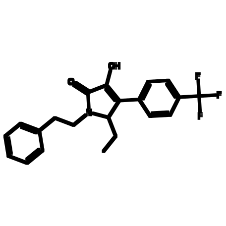 CCC1C(c2ccc(C(F)(F)F)cc2)=C(O)C(=O)N1CCc1ccccc1